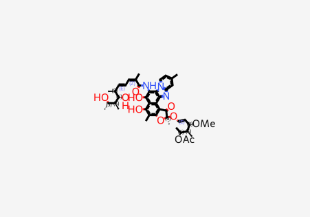 CO[C@@H](/C=C/O[C@@]1(C)Oc2c(C)c(O)c3c(O)c(NC(=O)/C(C)=C\C=C\[C@H](C)[C@H](O)[C@@H](C)[C@H](C)O)c4c(nc5cc(C)ccn54)c3c2C1=O)[C@@H](C)[C@H](C)OC(C)=O